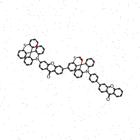 O=c1c2ccccc2oc2cc(-c3ccc(N4c5ccccc5C5(c6ccccc6Sc6cc(-c7ccc8c(=O)c9ccc(N%10c%11ccccc%11C%11(c%12ccccc%12Sc%12ccccc%12%11)c%11ccccc%11%10)cc9oc8c7)ccc65)c5ccccc54)cc3)ccc12